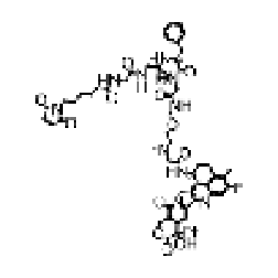 CC[C@@]1(O)C(=O)OCc2c1cc1n(c2=O)Cc2c-1nc1cc(F)c(C)c3c1c2[C@@H](NC(=O)CN(C)CCOCNC(=O)CNC(=O)[C@H](Cc1ccccc1)NC(=O)CNC(=O)CNC(=O)CCCCCN1C(=O)C=CC1=O)CC3